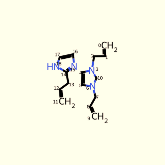 C=CCN1C=CN(CC=C)C1.C=CCc1ncc[nH]1